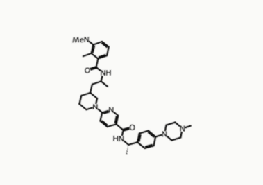 CNc1cccc(C(=O)NC(C)CC2CCCN(c3ccc(C(=O)N[C@@H](C)c4ccc(N5CCN(C)CC5)cc4)cn3)C2)c1C